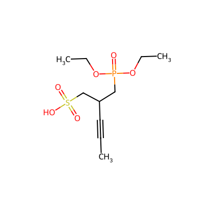 CC#CC(CP(=O)(OCC)OCC)CS(=O)(=O)O